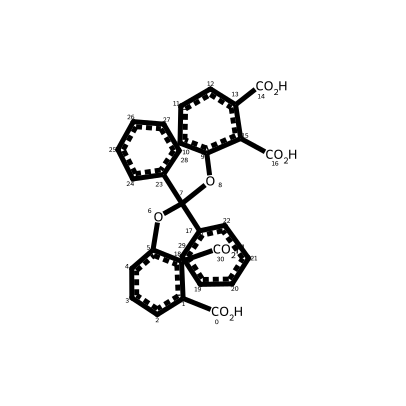 O=C(O)c1cccc(OC(Oc2cccc(C(=O)O)c2C(=O)O)(c2ccccc2)c2ccccc2)c1C(=O)O